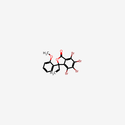 C=CC1(c2ccccc2OC)OC(=O)c2c(Br)c(Br)c(Br)c(Br)c21